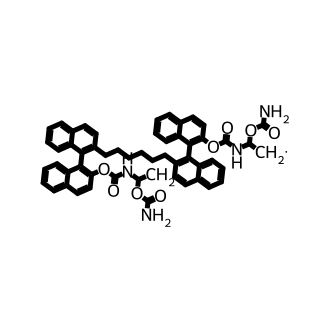 [CH2]C(NC(=O)Oc1ccc2ccccc2c1-c1c(CCCCCCc2ccc3ccccc3c2-c2c(OC(=O)NC([CH2])OC(N)=O)ccc3ccccc23)ccc2ccccc12)OC(N)=O